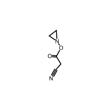 N#CCC(=O)ON1CC1